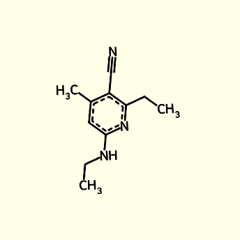 CCNc1cc(C)c(C#N)c(CC)n1